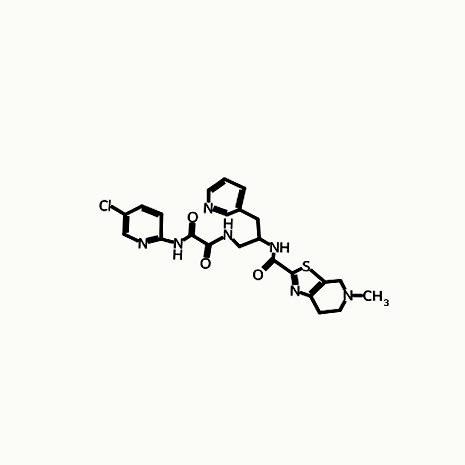 CN1CCc2nc(C(=O)NC(CNC(=O)C(=O)Nc3ccc(Cl)cn3)Cc3cccnc3)sc2C1